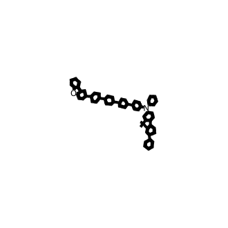 CC1(C)c2cc(-c3ccccc3)ccc2-c2ccc(N(c3ccccc3)c3ccc(-c4ccc(-c5ccc(-c6ccc(-c7ccc8oc9ccccc9c8c7)cc6)cc5)cc4)cc3)cc21